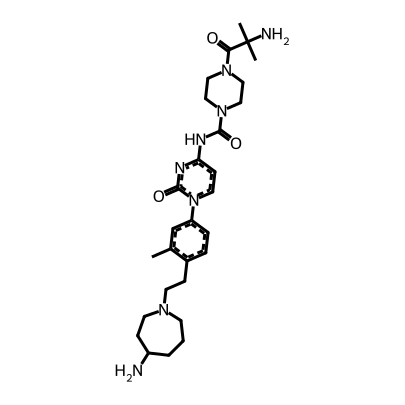 Cc1cc(-n2ccc(NC(=O)N3CCN(C(=O)C(C)(C)N)CC3)nc2=O)ccc1CCN1CCCC(N)CC1